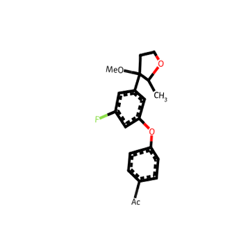 COC1(c2cc(F)cc(Oc3ccc(C(C)=O)cc3)c2)CCOC1C